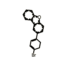 BrC1=CC=C(c2ccc3oc4ccccc4c3c2)CC1